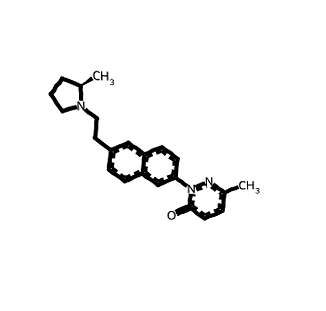 Cc1ccc(=O)n(-c2ccc3cc(CCN4CCC[C@H]4C)ccc3c2)n1